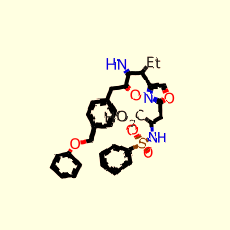 CCC(C(=N)C(=O)Cc1ccc(COc2ccccc2)cc1)c1coc(CC(NS(=O)(=O)c2ccccc2)C(=O)O)n1